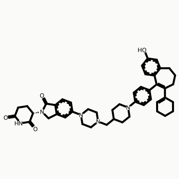 O=C1CC[C@H](N2Cc3cc(N4CCN(CC5CCN(c6ccc(C7=C(C8=CCCCC8)CCCc8cc(O)ccc87)cc6)CC5)CC4)ccc3C2=O)C(=O)N1